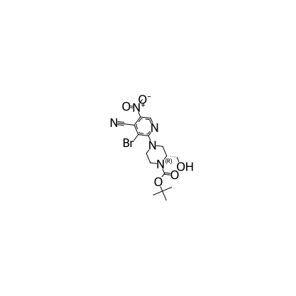 CC(C)(C)OC(=O)N1CCN(c2ncc([N+](=O)[O-])c(C#N)c2Br)C[C@@H]1CO